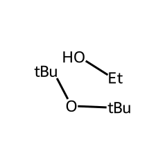 CC(C)(C)OC(C)(C)C.CCO